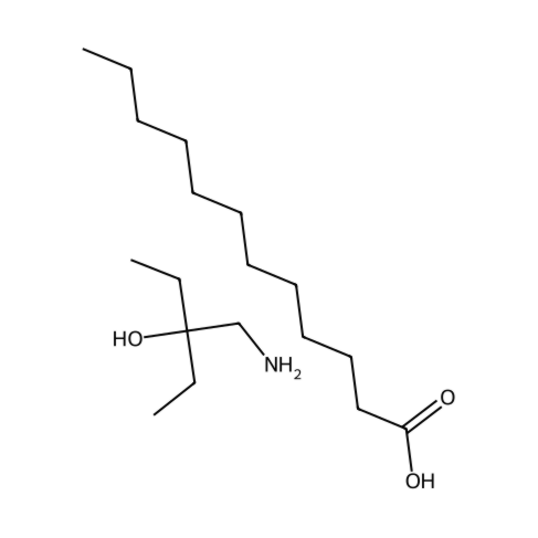 CCC(O)(CC)CN.CCCCCCCCCCCC(=O)O